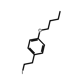 CCCCOc1ccc(CCI)cc1